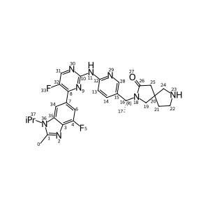 Cc1nc2c(F)cc(-c3nc(Nc4ccc([C@@H](C)N5CC6(CCNC6)CC5=O)cn4)ncc3F)cc2n1C(C)C